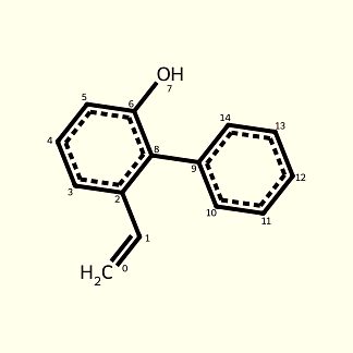 C=Cc1cccc(O)c1-c1ccccc1